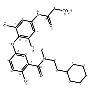 CN(CCC1CCCCC1)C(=O)c1cc(Oc2c(Cl)cc(NC(=O)CC(=O)O)cc2Cl)ccc1O